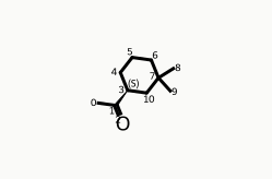 CC(=O)[C@H]1CCCC(C)(C)C1